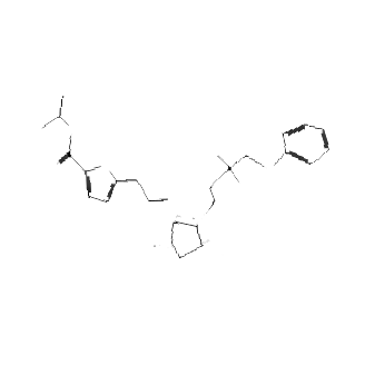 CC(C)OC(=O)c1ccc(CCC[C@@H]2[C@@H](CCC(F)(F)COc3ccccc3)[C@H](O)C[C@@H]2O)s1